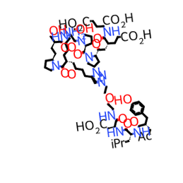 CC(=O)C[C@@H](Cc1ccc(O)cc1)C(=O)N[C@H](CC(C)C)C(=O)N[C@@H](CC(=O)O)C(=O)NCCOCCn1cc(CCC(=O)C[C@@H](CCCCN)C(=O)N2CCC[C@H]2CC[C@@H](CO)C(=O)N[C@H](CO)C(=O)N2CCC[C@H]2C(=O)N2CCC[C@H]2C(=O)C[C@@H](CCC(=O)O)C(=O)N[C@@H](CCC(=O)O)C(=O)O)nn1